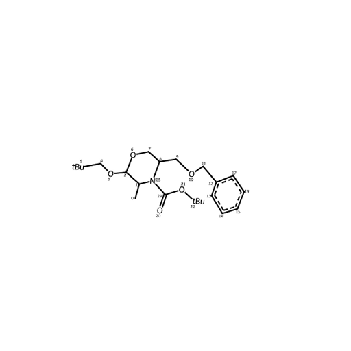 CC1C(OCC(C)(C)C)OCC(COCc2ccccc2)N1C(=O)OC(C)(C)C